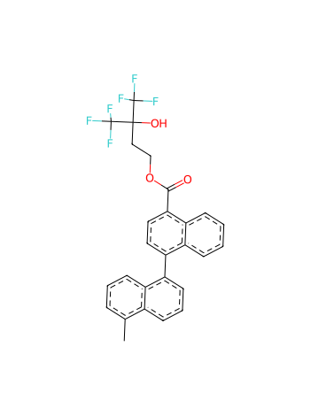 Cc1cccc2c(-c3ccc(C(=O)OCCC(O)(C(F)(F)F)C(F)(F)F)c4ccccc34)cccc12